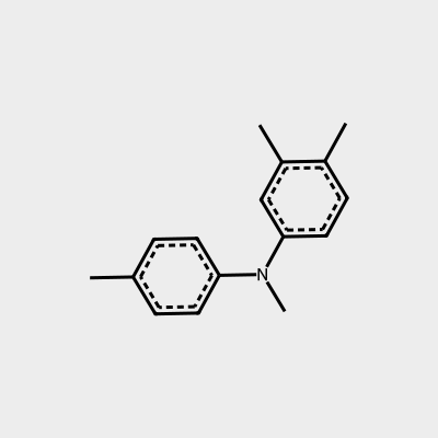 Cc1ccc(N(C)c2ccc(C)c(C)c2)cc1